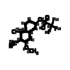 COc1nc2cc(OS(=O)(=O)C(F)(F)F)ccc2c(Cl)c1[14C]#N